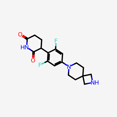 O=C1CCC(c2c(F)cc(N3CCC4(CC3)CNC4)cc2F)C(=O)N1